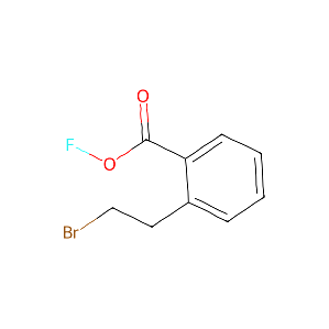 O=C(OF)c1ccccc1CCBr